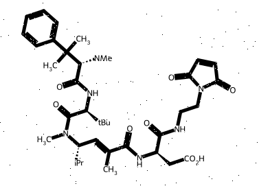 CN[C@H](C(=O)N[C@H](C(=O)N(C)[C@H](/C=C(\C)C(=O)N[C@H](CC(=O)O)C(=O)NCCN1C(=O)C=CC1=O)C(C)C)C(C)(C)C)C(C)(C)c1ccccc1